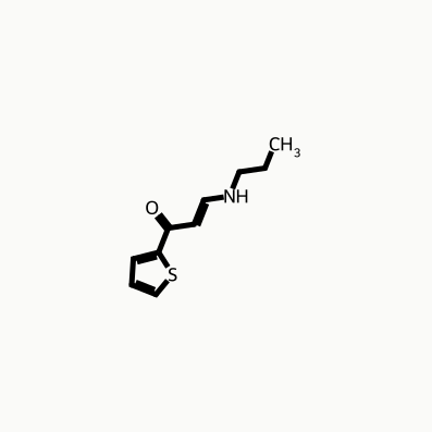 CCCN/C=C/C(=O)c1cccs1